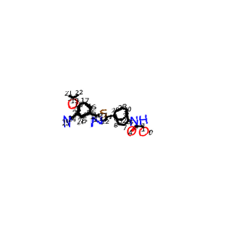 COCC(=O)NC1CCC2=C(c3cnc(-c4ccc(OC(C)C)c(C#N)c4)s3)C=CC=C1C2